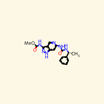 COC(=O)Nc1n[nH]c2cc(NC(=O)N[C@H](C)c3ccccc3)ncc12